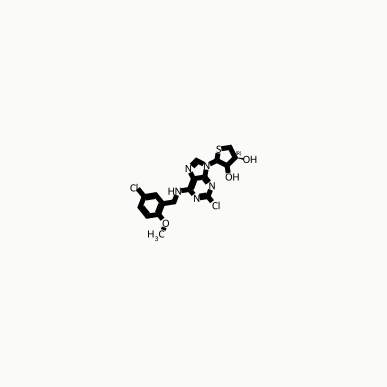 COc1ccc(Cl)cc1CNc1nc(Cl)nc2c1ncn2C1SC[C@H](O)C1O